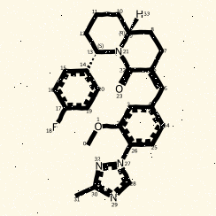 COc1cc(C=C2CC[C@H]3CCC[C@@H](c4ccc(F)cc4)N3C2=O)ccc1-n1cnc(C)n1